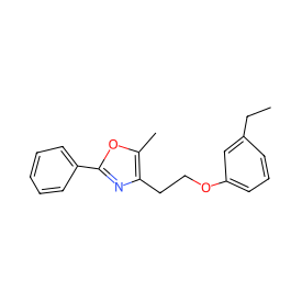 CCc1cccc(OCCc2nc(-c3ccccc3)oc2C)c1